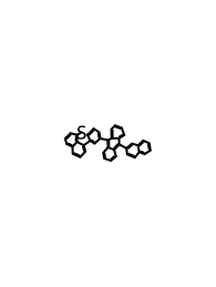 c1ccc2cc(-c3c4ccccc4c(-c4ccc5c(c4)-c4cccc6cccc(c46)S5)c4ccccc34)ccc2c1